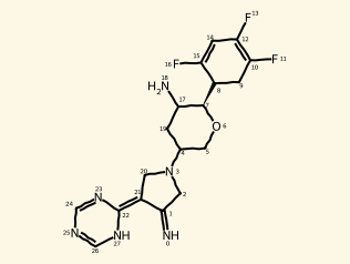 N=C1CN(C2CO[C@H](C3CC(F)=C(F)C=C3F)C(N)C2)C/C1=C1\N=CN=CN1